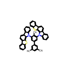 N#Cc1cc(C#N)cc(-c2cc(-n3c4ccccc4c4ccc5c6ccccc6sc5c43)c(C#N)c(-n3c4ccccc4c4ccc5c6ccccc6sc5c43)c2)c1